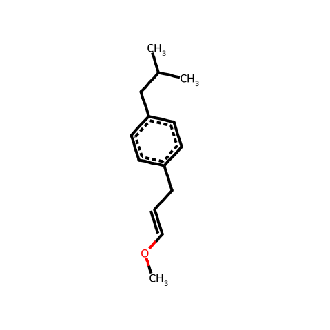 CO/C=C/Cc1ccc(CC(C)C)cc1